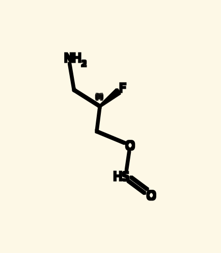 NC[C@@H](F)CO[SH]=O